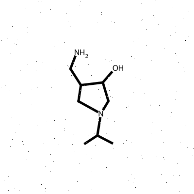 CC(C)N1CC(O)C(CN)C1